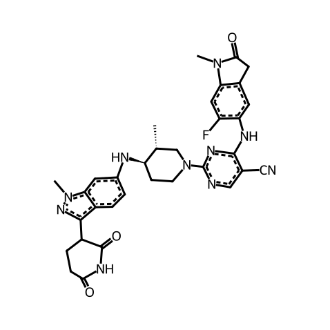 C[C@@H]1CN(c2ncc(C#N)c(Nc3cc4c(cc3F)N(C)C(=O)C4)n2)CC[C@H]1Nc1ccc2c(C3CCC(=O)NC3=O)nn(C)c2c1